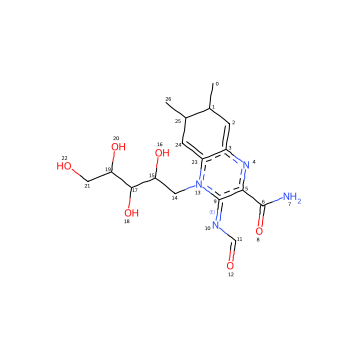 CC1C=c2nc(C(N)=O)/c(=N\C=O)n(CC(O)C(O)C(O)CO)c2=CC1C